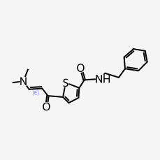 CN(C)/C=C/C(=O)c1ccc(C(=O)NCCc2ccccc2)s1